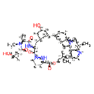 CCn1c(-c2cccnc2[C@H](C)OC)c2c3cc(ccc31)-c1cc(O)cc(c1)C[C@H](NC(=O)[C@H](C(C)C)N(C)C(=O)[C@@H]1C[C@H]1O)C(=O)N1CCC[C@H](N1)C(=O)OCC(C)(C)C2